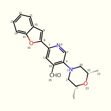 C[C@@H]1CN(c2cnc(-c3cc4ccccc4o3)cc2C=O)C[C@H](C)O1